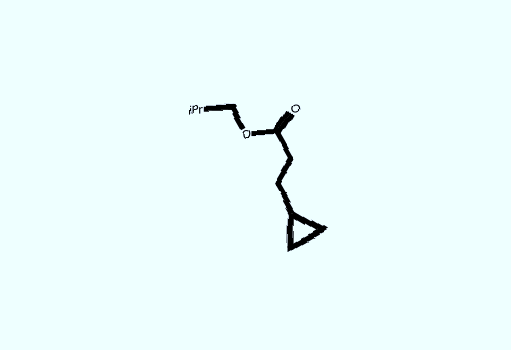 CC(C)COC(=O)CCC1CC1